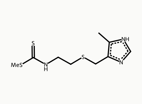 CSC(=S)NCCSCc1nc[nH]c1C